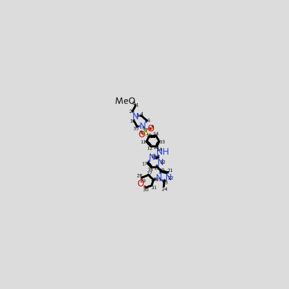 COCCN1CCN(S(=O)(=O)c2ccc(Nc3nccc(-c4cnc(C)n4C4CCOCC4)n3)cc2)CC1